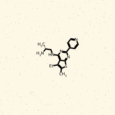 CCc1c(C)sc2nc(-c3ccncc3)nc(NC[C@@H](C)N)c12